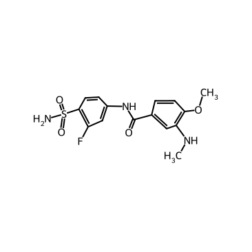 CNc1cc(C(=O)Nc2ccc(S(N)(=O)=O)c(F)c2)ccc1OC